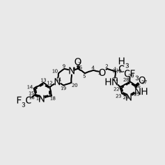 C[C@@H](COCCC(=O)N1CCN(c2ccc(C(F)(F)F)nc2)CC1)Nc1cn[nH]c(=O)c1C(F)(F)F